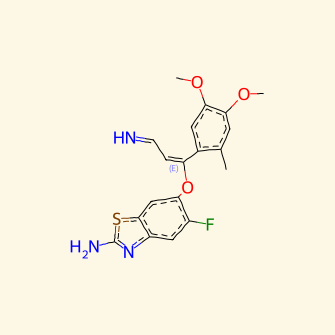 COc1cc(C)c(/C(=C\C=N)Oc2cc3sc(N)nc3cc2F)cc1OC